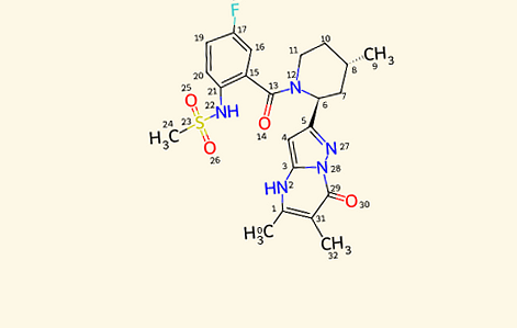 Cc1[nH]c2cc([C@@H]3C[C@@H](C)CCN3C(=O)c3cc(F)ccc3NS(C)(=O)=O)nn2c(=O)c1C